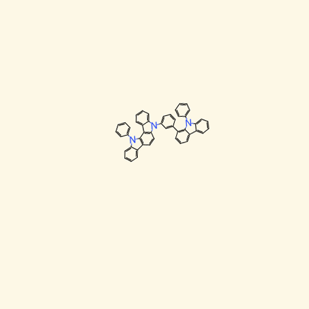 c1ccc(-n2c3ccccc3c3cccc(-c4cccc(-n5c6ccccc6c6c5ccc5c7ccccc7n(-c7ccccc7)c56)c4)c32)cc1